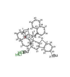 Cl.Cl.[CH2]=[Hf]([C]1=CC=CC1)([c]1cc(C(C)(C)C)cc2c1Cc1ccc(C(C)(C)C)cc1-2)([c]1cccc2ccccc12)[c]1cccc2ccccc12